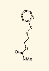 CNC(=O)OCCSSc1ccccn1